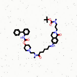 CN(CCN1CCC(OC(=O)Nc2ccccc2-c2ccccc2)CC1)C(=O)CCCCCNc1ccc2c(c1)CCN(CCCN(C)C(=O)OC(C)(C)C)C2=O